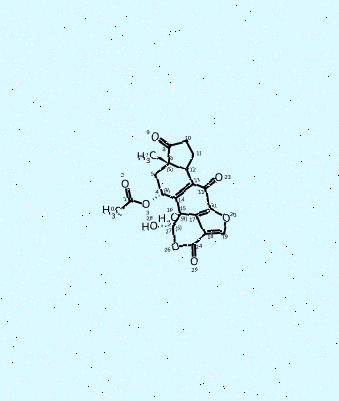 CC(=O)O[C@@H]1C[C@]2(C)C(=O)CCC2C2=C1[C@]1(C)c3c(coc3C2=O)C(=O)O[C@@H]1O